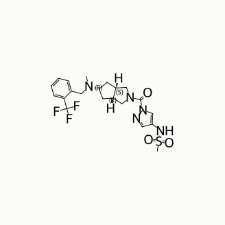 CN(Cc1ccccc1C(F)(F)F)[C@@H]1C[C@@H]2CN(C(=O)n3cc(NS(C)(=O)=O)cn3)C[C@@H]2C1